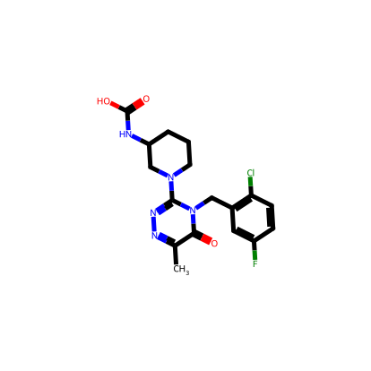 Cc1nnc(N2CCCC(NC(=O)O)C2)n(Cc2cc(F)ccc2Cl)c1=O